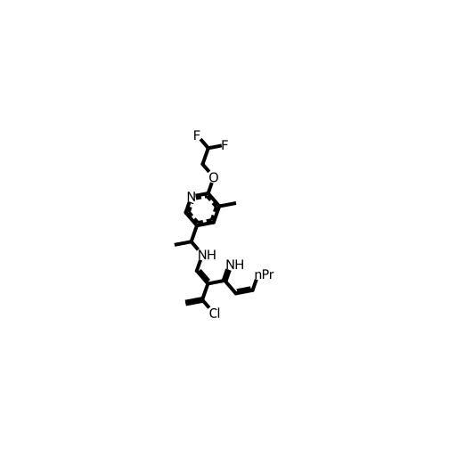 C=C(Cl)/C(=C/NC(C)c1cnc(OCC(F)F)c(C)c1)C(=N)/C=C\CCC